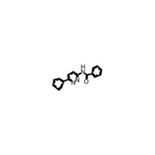 O=C(Nc1ccc(-c2ccccc2)nn1)c1ccccc1